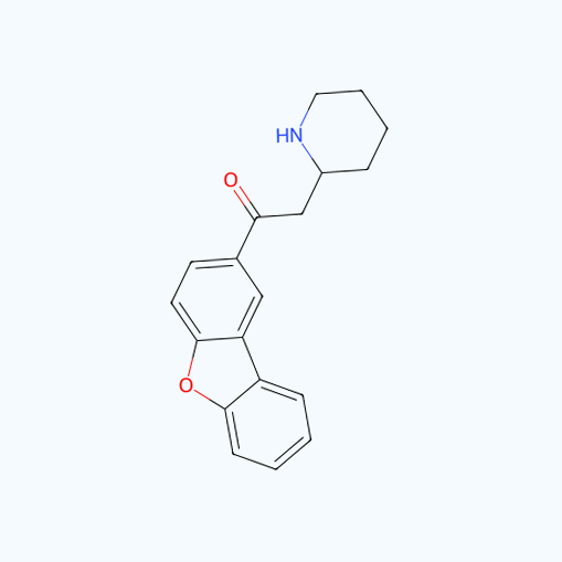 O=C(CC1CCCCN1)c1ccc2oc3ccccc3c2c1